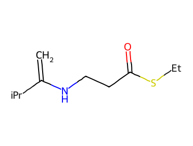 C=C(NCCC(=O)SCC)C(C)C